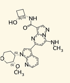 CNc1cc(-c2cn([C@H]3CCOC[C@H]3OC)c3ncccc23)nc2c(C(=O)N[C@H]3CC[C@H]3O)cnn12